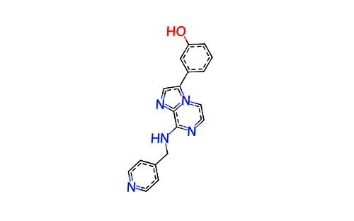 Oc1cccc(-c2cnc3c(NCc4ccncc4)nccn23)c1